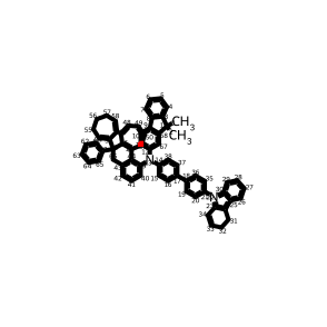 CC1(C)c2ccccc2-c2ccc(N(c3ccc(-c4ccc(-n5c6c(c7ccccc75)CCC=C6)cc4)cc3)c3cccc4c3C3=C(C=CC=CC3)C(C3=CCCCC=C3)(c3ccccc3)C4)cc21